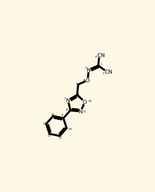 N#CC(C#N)=NOCc1nc(-c2ccccc2)no1